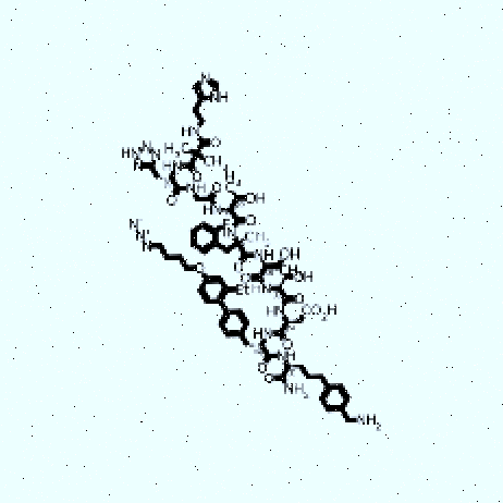 CCc1cc(OCCCCN=[N+]=[N-])ccc1-c1ccc(C[C@H](NC(=O)[C@H](CC(=O)O)NC(=O)[C@H](CO)NC(=O)[C@@H](NC(=O)[C@](C)(Cc2ccccc2F)NC(=O)[C@@H](NC(=O)CNC(=O)[C@H](Cc2nn[nH]n2)NC(=O)C(C)(C)C(=O)NCCc2cnc[nH]2)[C@@H](C)O)[C@@H](C)O)C(=O)N[C@@H](CCCc2ccc(CN)cc2)C(N)=O)cc1